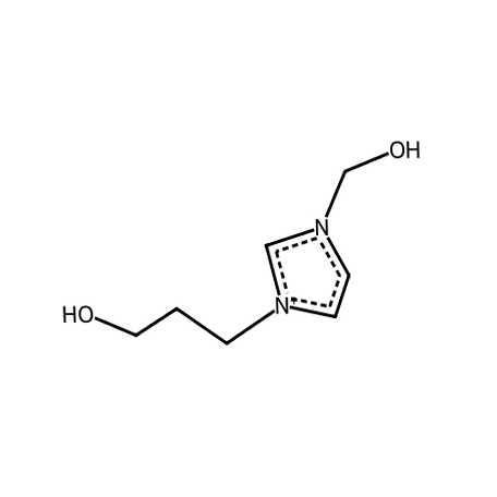 OCCC[n+]1ccn(CO)c1